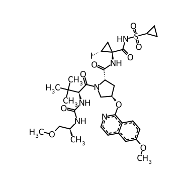 COC[C@H](C)NC(=O)N[C@H](C(=O)N1C[C@H](Oc2nccc3cc(OC)ccc23)C[C@H]1C(=O)N[C@]1(C(=O)NS(=O)(=O)C2CC2)C[C@H]1I)C(C)(C)C